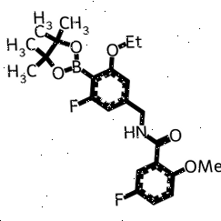 CCOc1cc(CNC(=O)c2cc(F)ccc2OC)cc(F)c1B1OC(C)(C)C(C)(C)O1